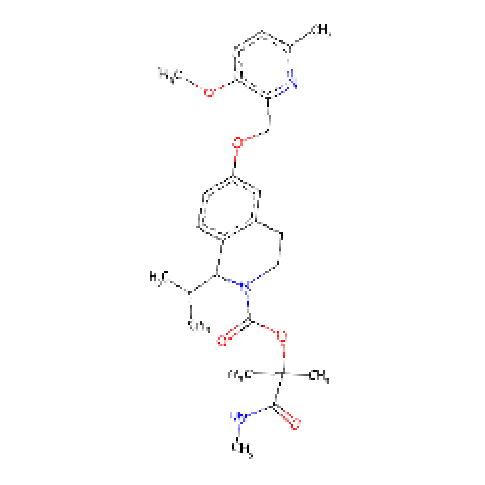 CNC(=O)C(C)(C)OC(=O)N1CCc2cc(OCc3nc(C)ccc3OC)ccc2C1C(C)C